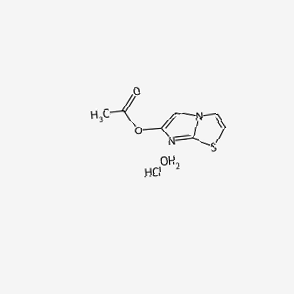 CC(=O)Oc1cn2ccsc2n1.Cl.O